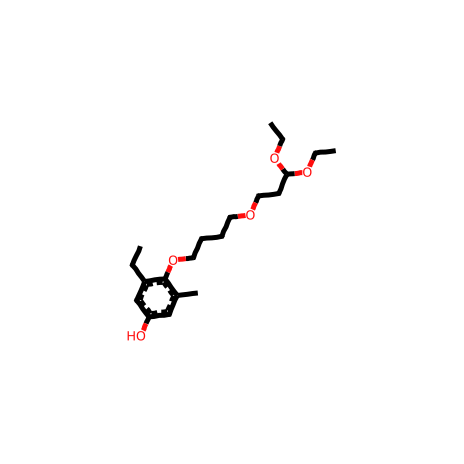 CCOC(CCOCCCCOc1c(C)cc(O)cc1CC)OCC